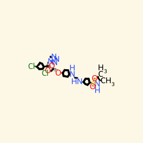 CCC(C)NS(=O)(=O)c1ccc(NCCNc2ccc(OC[C@@H]3CO[C@@](Cn4cnnn4)(c4ccc(Cl)cc4Cl)O3)cc2)cc1